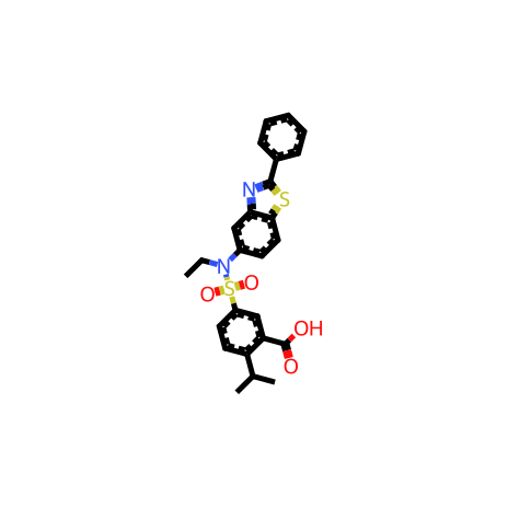 CCN(c1ccc2sc(-c3ccccc3)nc2c1)S(=O)(=O)c1ccc(C(C)C)c(C(=O)O)c1